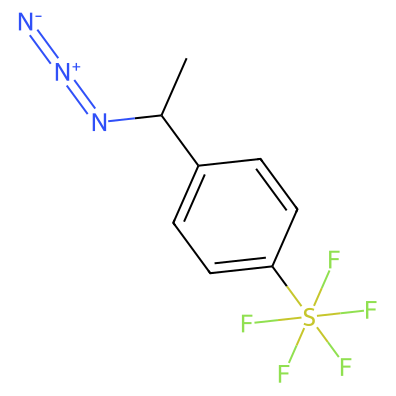 CC(N=[N+]=[N-])c1ccc(S(F)(F)(F)(F)F)cc1